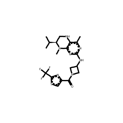 Cc1nc(NC2CN(C(=O)c3csc(C(F)(F)F)n3)C2)nc2c1NC[C@H](C(C)C)N2C